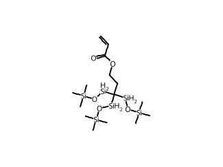 C=CC(=O)OCCC([SiH2]O[Si](C)(C)C)([SiH2]O[Si](C)(C)C)[SiH2]O[Si](C)(C)C